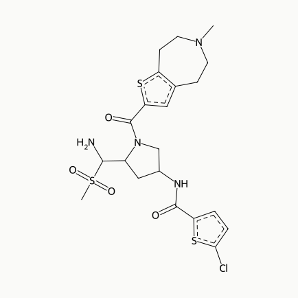 CN1CCc2cc(C(=O)N3CC(NC(=O)c4ccc(Cl)s4)CC3C(N)S(C)(=O)=O)sc2CC1